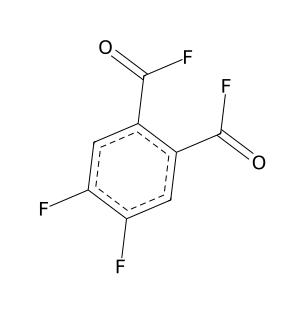 O=C(F)c1cc(F)c(F)cc1C(=O)F